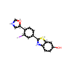 Oc1ccc2nc(-c3ccc(-c4cnco4)c(I)c3)sc2c1